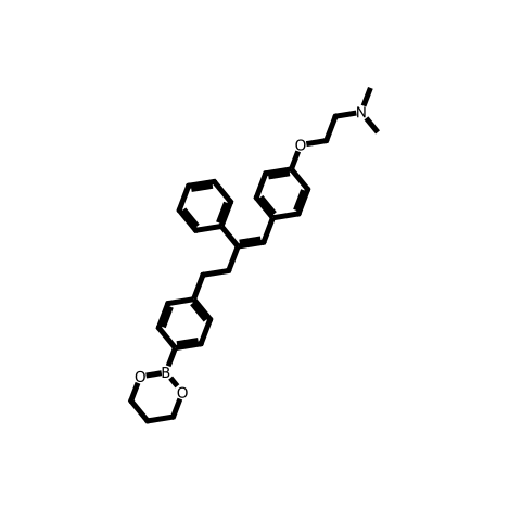 CN(C)CCOc1ccc(C=C(CCc2ccc(B3OCCCO3)cc2)c2ccccc2)cc1